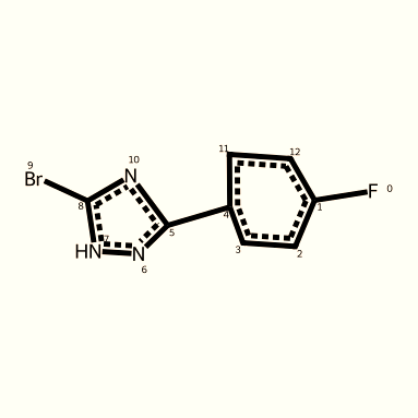 Fc1ccc(-c2n[nH]c(Br)n2)cc1